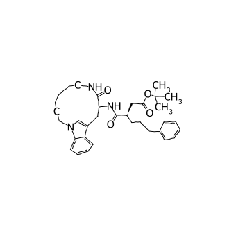 CC(C)(C)OC(=O)C[C@@H](CCCc1ccccc1)C(=O)NC1Cc2cn(c3ccccc23)CCCCCCNC1=O